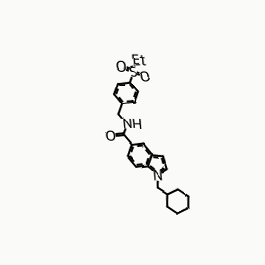 CCS(=O)(=O)c1ccc(CNC(=O)c2ccc3c(ccn3CC3CCCCC3)c2)cc1